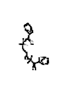 CC(C)(CCOC(C)(C)C(=O)C1CC2C=CC1C2)OC(=O)C1CC2C=CC1C2